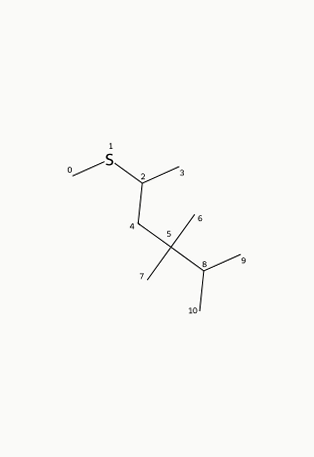 CSC(C)CC(C)(C)C(C)C